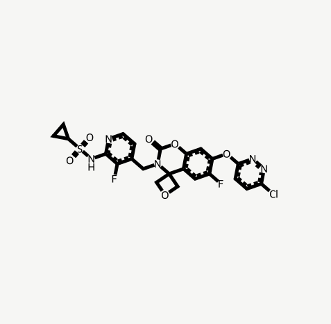 O=C1Oc2cc(Oc3ccc(Cl)nn3)c(F)cc2C2(COC2)N1Cc1ccnc(NS(=O)(=O)C2CC2)c1F